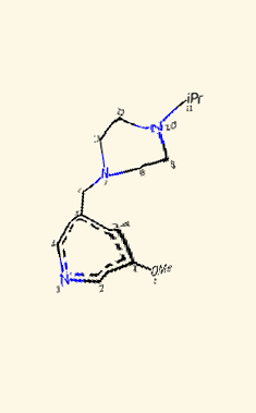 COc1cncc(CN2CCN(C(C)C)CC2)c1